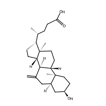 C=C1C[C@@H]2C[C@H](O)CC[C@]2(C)[C@H]2CC[C@]3(C)[C@@H]([C@H](C)CCC(=O)O)CC[C@H]3[C@H]12